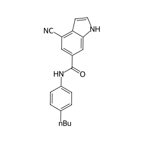 CCCCc1ccc(NC(=O)c2cc(C#N)c3cc[nH]c3c2)cc1